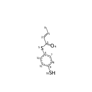 CC=CC(=O)Sc1ccc(S)cc1